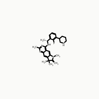 C=C1N(C)c2cc3c(N[C@H](C)c4cccc(C5CCCNC5)c4F)nc(C)nc3cc2C1(C)C